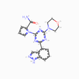 NC(=O)c1cccn1-c1nc(-c2cccc3[nH]ncc23)nc(N2CCOCC2)n1